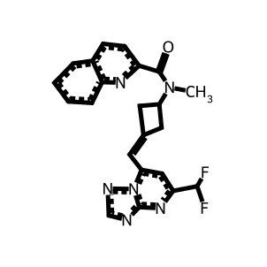 CN(C(=O)c1ccc2ccccc2n1)C1CC(=Cc2cc(C(F)F)nc3ncnn23)C1